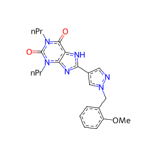 CCCn1c(=O)c2[nH]c(-c3cnn(Cc4ccccc4OC)c3)nc2n(CCC)c1=O